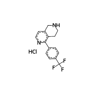 Cl.FC(F)(F)c1ccc(-c2nccc3c2CCNC3)cc1